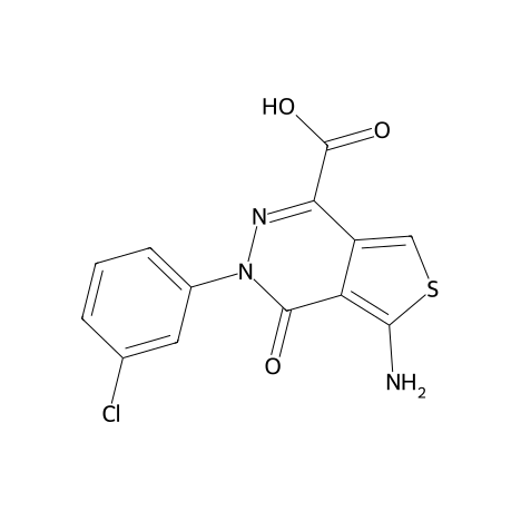 Nc1scc2c(C(=O)O)nn(-c3cccc(Cl)c3)c(=O)c12